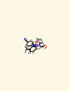 COc1ccc(NC(=O)C2(c3ccccc3C(C)C)CCC(C#N)CC2)c(OC(F)F)n1